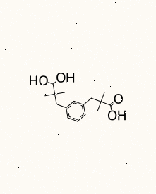 CC(C)(Cc1cccc(CC(C)(C)C(O)O)c1)C(=O)O